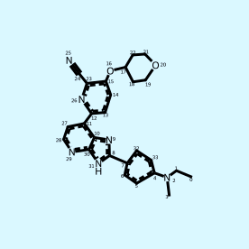 CCN(C)c1ccc(-c2nc3c(-c4ccc(OC5CCOCC5)c(C#N)n4)ccnc3[nH]2)cc1